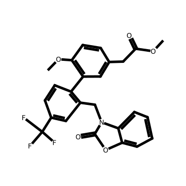 COC(=O)Cc1ccc(OC)c(-c2ccc(C(F)(F)F)cc2Cn2c(=O)oc3ccccc32)c1